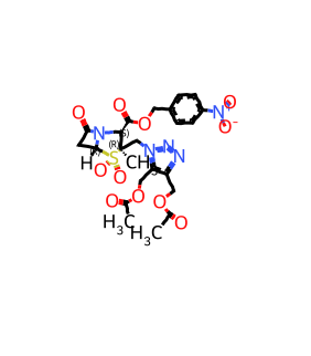 CC(=O)OCc1nnn(C[C@]2(C)[C@H](C(=O)OCc3ccc([N+](=O)[O-])cc3)N3C(=O)C[C@H]3S2(=O)=O)c1COC(C)=O